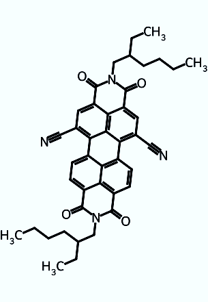 CCCCC(CC)CN1C(=O)c2ccc3c4c(C#N)cc5c6c(cc(C#N)c(c7ccc(c2c37)C1=O)c64)C(=O)N(CC(CC)CCCC)C5=O